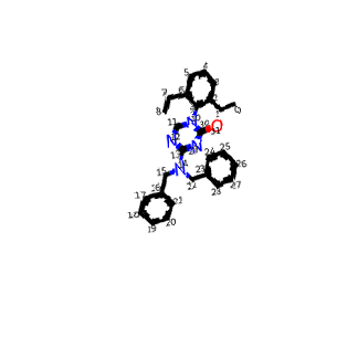 CCc1cccc(CC)c1-n1cnc(N(Cc2ccccc2)Cc2ccccc2)nc1=O